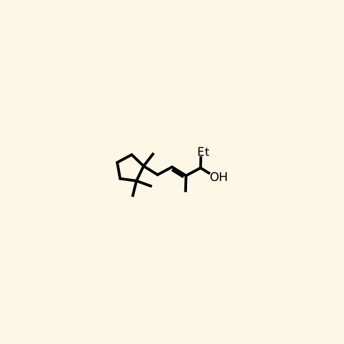 CCC(O)/C(C)=C/CC1(C)CCCC1(C)C